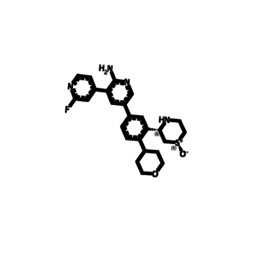 Nc1ncc(-c2ccc(C3CCOCC3)c([C@H]3C[S@+]([O-])CCN3)c2)cc1-c1ccnc(F)c1